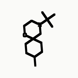 CC1CCC2(CC1)CN(C(C)(C)C)CCO2